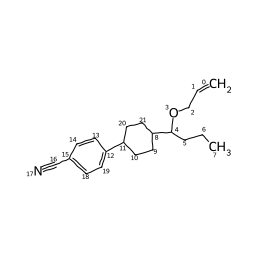 C=CCOC(CCC)C1CCC(c2ccc(C#N)cc2)CC1